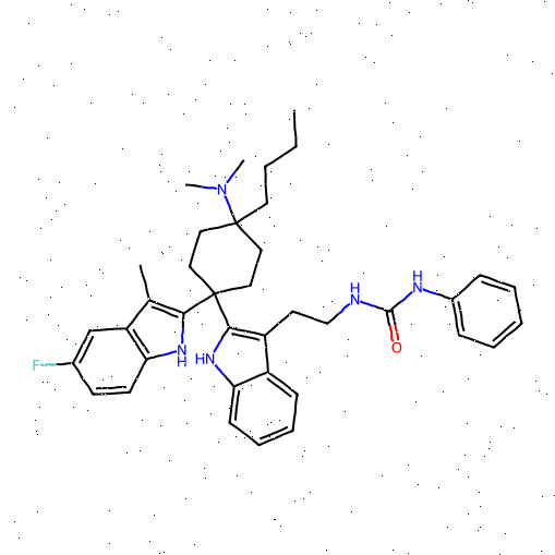 CCCCC1(N(C)C)CCC(c2[nH]c3ccc(F)cc3c2C)(c2[nH]c3ccccc3c2CCNC(=O)Nc2ccccc2)CC1